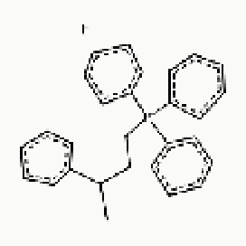 CC(CC[P+](c1ccccc1)(c1ccccc1)c1ccccc1)c1ccccc1.[I-]